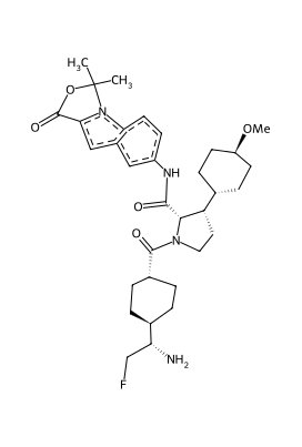 CO[C@H]1CC[C@H]([C@@H]2CCN(C(=O)[C@H]3CC[C@H]([C@H](N)CF)CC3)[C@@H]2C(=O)Nc2ccc3c(c2)cc2n3C(C)(C)OC2=O)CC1